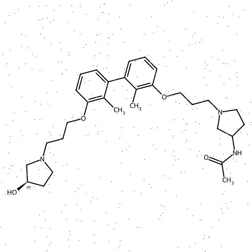 CC(=O)NC1CCN(CCCOc2cccc(-c3cccc(OCCCN4CC[C@@H](O)C4)c3C)c2C)C1